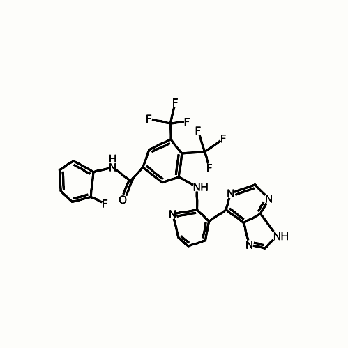 O=C(Nc1ccccc1F)c1cc(Nc2ncccc2-c2ncnc3[nH]cnc23)c(C(F)(F)F)c(C(F)(F)F)c1